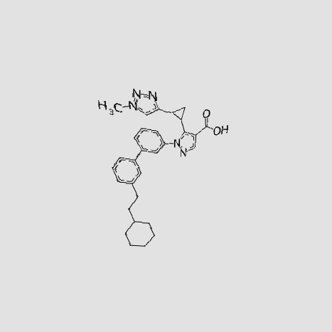 Cn1cc(C2CC2c2c(C(=O)O)cnn2-c2cccc(-c3cccc(CCC4CCCCC4)c3)c2)nn1